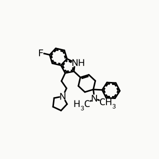 CN(C)C1(c2ccccc2)CC=C(c2[nH]c3ccc(F)cc3c2CCN2CCCC2)CC1